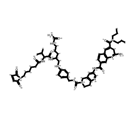 CCCN(CCC)C(=O)C1=Cc2ccc(C(=O)Nc3cnc4c(c3)CN(C(=O)OCc3ccc(NCC(CCCNC(N)=O)NC(=O)C(NC(=O)CCCCCN5C(=O)C=CC5=O)C(C)C)cc3)CC4)cc2N=C(N)C1